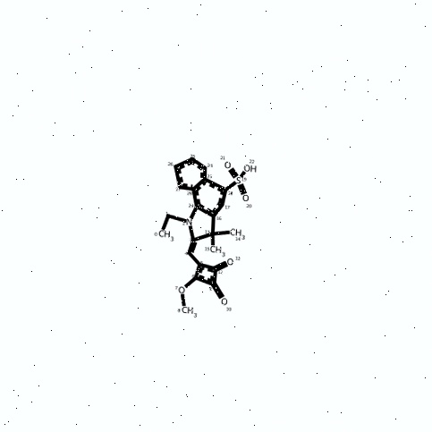 CCN1C(=Cc2c(OC)c(=O)c2=O)C(C)(C)c2cc(S(=O)(=O)O)c3ccccc3c21